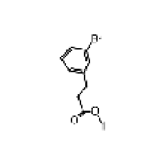 O=C(CCc1cccc(Br)c1)OI